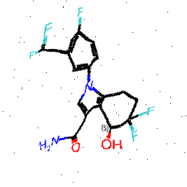 NC(=O)c1cn(-c2ccc(F)c(C(F)F)c2)c2c1[C@H](O)C(F)(F)CC2